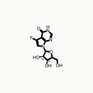 O=c1[nH]cnc2c1c(F)cn2C1OC(CO)[C@@H](O)[C@H]1O